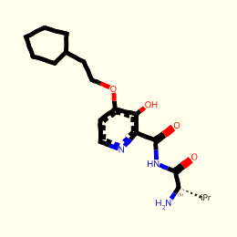 CC(C)[C@H](N)C(=O)NC(=O)c1nccc(OCCC2CCCCC2)c1O